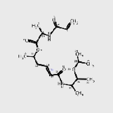 C=CC(=O)N[C@H](C)C(=O)OC(C)C/C=C/C(=O)NC(C)C(C)OC(C)C